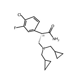 NC(=O)[C@H](CN(CC1CC1)CC1CC1)c1ccc(Cl)c(F)c1